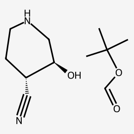 CC(C)(C)OC=O.N#C[C@@H]1CCNC[C@H]1O